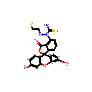 NC(=S)N(NCC[S])c1cccc2c1C(=O)OC21c2ccc(O)cc2Oc2cc(O)ccc21